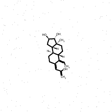 C=C(O)/C=C1/CC[C@@H]2[C@H](CC[C@]3(C)[C@@H](O)[C@H](O)C[C@@H]23)/C1=C/C